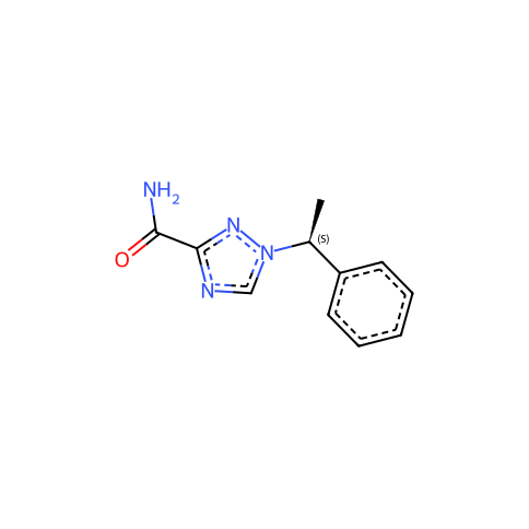 C[C@@H](c1ccccc1)n1cnc(C(N)=O)n1